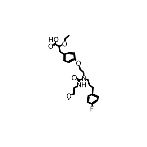 CCOC(Cc1ccc(OCCN(CCCc2ccc(F)cc2)C(=O)NCCOC)cc1)C(=O)O